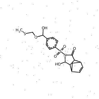 CSCOC(O)c1ccc(S(=O)(=O)N2C(=O)C3C4C=CC(C4)C3C2O)cc1